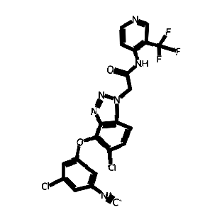 [C-]#[N+]c1cc(Cl)cc(Oc2c(Cl)ccc3c2nnn3CC(=O)Nc2ccncc2C(F)(F)F)c1